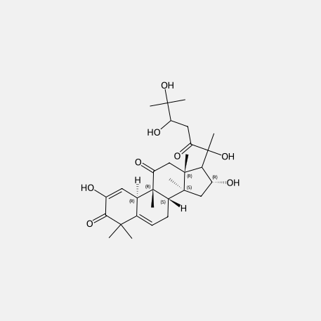 CC1(C)C(=O)C(O)=C[C@@H]2C1=CC[C@@H]1[C@@]2(C)C(=O)C[C@]2(C)C(C(C)(O)C(=O)CC(O)C(C)(C)O)[C@H](O)C[C@@]12C